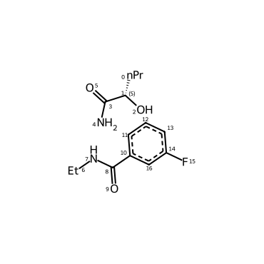 CCC[C@H](O)C(N)=O.CCNC(=O)c1cccc(F)c1